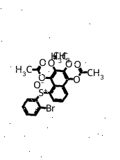 COc1c(OC)c(OC(C)=O)c2c([S+]([O-])c3ccccc3Br)cccc2c1OC(C)=O